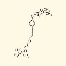 CC(C)(C)OCCCOCCC#Cc1ccc(OC2CC(OC(C)(C)C)C2)cc1